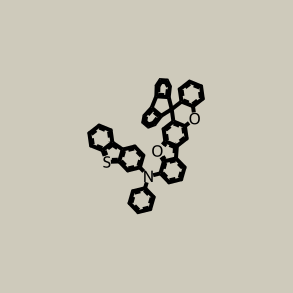 c1ccc(N(c2ccc3c(c2)sc2ccccc23)c2cccc3c2oc2cc4c(cc23)Oc2ccccc2C42c3ccccc3-c3ccccc32)cc1